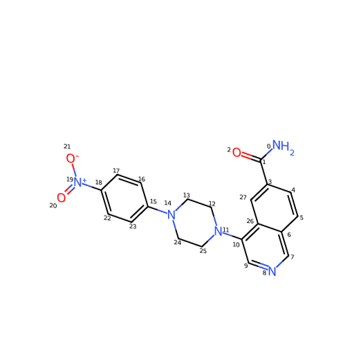 NC(=O)c1ccc2cncc(N3CCN(c4ccc([N+](=O)[O-])cc4)CC3)c2c1